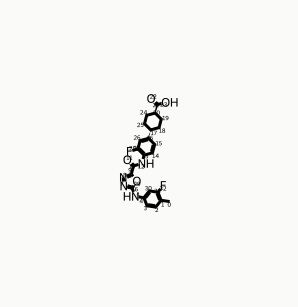 Cc1ccc(Nc2nnc(C(=O)Nc3ccc([C@H]4CC[C@H](C(=O)O)CC4)cc3F)o2)cc1F